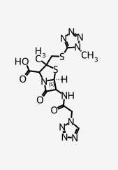 Cn1nnnc1SCC1(C)S[C@H]2C(NC(=O)Cn3cnnn3)C(=O)N2C1C(=O)O